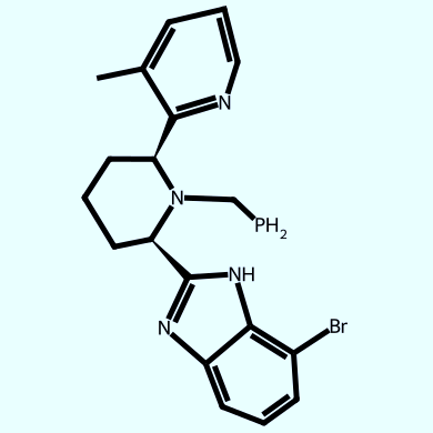 Cc1cccnc1[C@@H]1CCC[C@H](c2nc3cccc(Br)c3[nH]2)N1CP